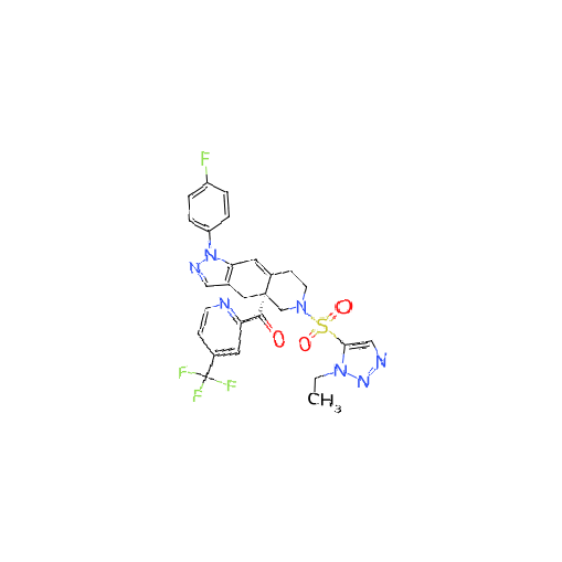 CCn1nncc1S(=O)(=O)N1CCC2=Cc3c(cnn3-c3ccc(F)cc3)C[C@]2(C(=O)c2cc(C(F)(F)F)ccn2)C1